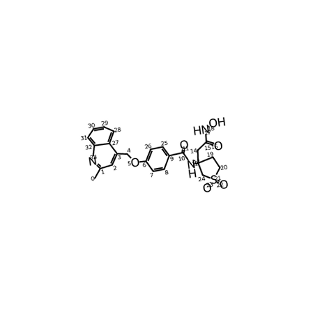 Cc1cc(COc2ccc(C(=O)NC3(CC(=O)NO)CCS(=O)(=O)C3)cc2)c2ccccc2n1